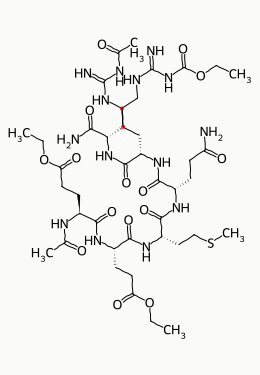 CCOC(=O)CC[C@H](NC(C)=O)C(=O)N[C@@H](CCC(=O)OCC)C(=O)N[C@@H](CCSC)C(=O)N[C@@H](CCC(N)=O)C(=O)N[C@@H](CCCNC(=N)NC(C)=O)C(=O)N[C@@H](CCCNC(=N)NC(=O)OCC)C(N)=O